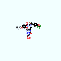 COc1ccc(C(=O)/N=c2\scc(-c3ccc(OC(F)(F)F)cc3)n2CCCNC(=O)NCCO)c(OC)c1